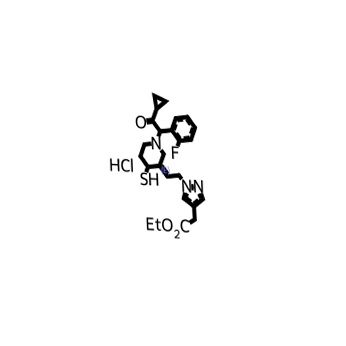 CCOC(=O)Cc1cnn(C/C=C2\CN(C(C(=O)C3CC3)c3ccccc3F)CCC2S)c1.Cl